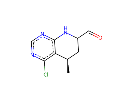 C[C@@H]1CC(C=O)Nc2ncnc(Cl)c21